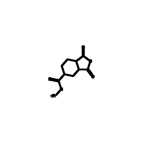 CCCOC(=O)C1CCC2C(=O)OC(=O)C2C1